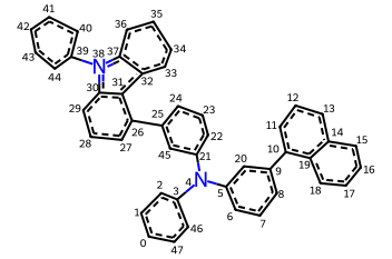 c1ccc(N(c2cccc(-c3cccc4ccccc34)c2)c2cccc(-c3cccc4c3c3ccccc3n4-c3ccccc3)c2)cc1